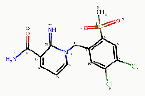 CS(=O)(=O)c1cc(Cl)c(Cl)cc1Cn1cccc(C(N)=O)c1=N